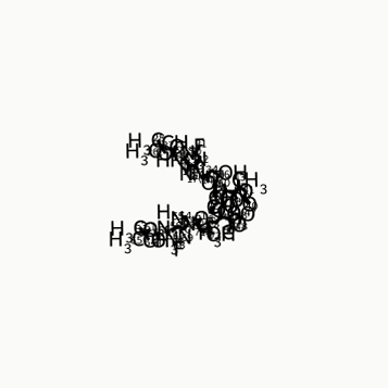 C#C[C@@]1(CC(OC(=O)OC(C[C@]2(C#C)O[C@@H](n3cnc4c(NC(=O)OC(C)(C)C)nc(F)nc43)C[C@@H]2O)c2oc(=O)oc2C)c2oc(=O)oc2C)O[C@@H](n2cnc3c(NC(=O)OC(C)(C)C)nc(F)nc32)C[C@@H]1O